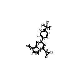 FC(F)(F)c1ccc(-c2cc(C3CC3)n3ncc(I)c3n2)cc1